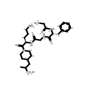 CC(CC1CCN(C(=O)[C@@H](CCCN)NC(=O)CNC(=O)[C@@H](Cc2ccccc2)NC(=O)CN)CC1)C(=O)O